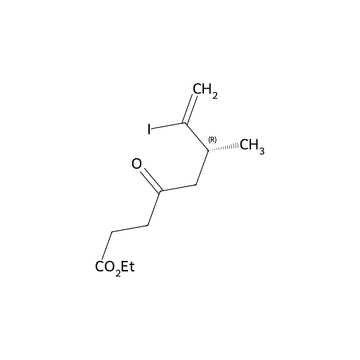 C=C(I)[C@H](C)CC(=O)CCC(=O)OCC